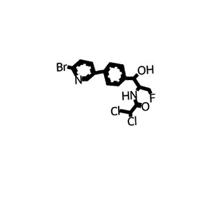 O=C(NC(CF)C(O)c1ccc(-c2ccc(Br)nc2)cc1)C(Cl)Cl